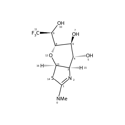 CNC1=N[C@@H]2[C@@H](O)[C@H](O)[C@@H]([C@H](O)C(F)(F)F)O[C@@H]2S1